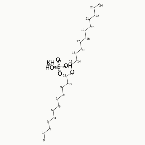 CCCCCCCCCCCCOCCCCCCCCCCCC.O=S(=O)(O)O.[KH]